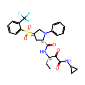 CC[C@H](NC(=O)[C@@H]1C[C@@H](S(=O)(=O)c2ccccc2C(F)(F)F)CN1c1ccccc1)C(=O)C(=O)NC1CC1